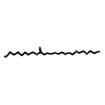 CC(C)CCCCCCCOC(=O)CCCOCCOCCOCCOCCC(C)C